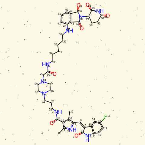 Cc1[nH]c(C=C2C(=O)Nc3ccc(F)cc32)c(C)c1C(=O)NCCCN1CCN(CC(=O)NCCCCCCNc2cccc3c2C(=O)N(C2CCC(=O)NC2=O)C3=O)CC1